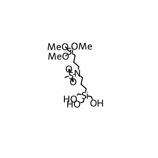 CO[Si](CCCN(CCC[Si](CO)(CO)CO)S(C)(=O)=O)(OC)OC